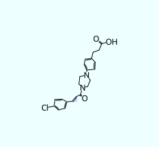 O=C(O)CCc1ccc(N2CCN(C(=O)/C=C/c3ccc(Cl)cc3)CC2)cc1